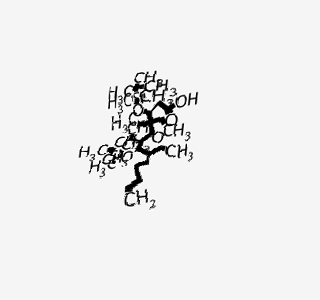 C=CCCC[C@H](CC)[C@H](O[Si](C)(C)C(C)(C)C)[C@@H](CC)C(=O)C(CC)(CC)[C@H](CC(=O)O)O[Si](C)(C)C(C)(C)C